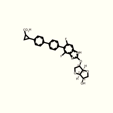 O=C(O)C1CC1c1ccc(-c2ccc(-c3c(F)cc4[nH]c(O[C@@H]5CO[C@H]6[C@@H]5OC[C@H]6O)nc4c3F)cc2)cc1